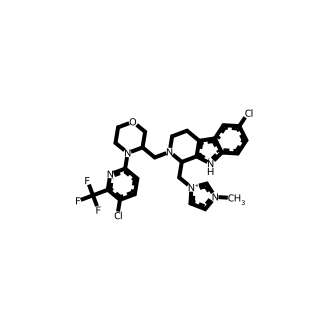 Cn1cc[n+](CC2c3[nH]c4ccc(Cl)cc4c3CCN2CC2COCCN2c2ccc(Cl)c(C(F)(F)F)n2)c1